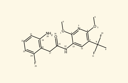 COc1nc(OC)c(C(C)(F)F)cc1NC(=O)Cc1c(N)cccc1F